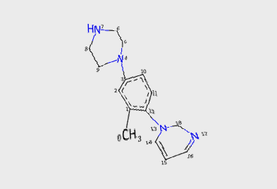 Cc1cc(N2CCNCC2)ccc1N1C=CC=NC1